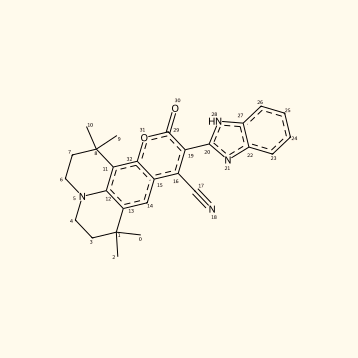 CC1(C)CCN2CCC(C)(C)c3c2c1cc1c(C#N)c(-c2nc4ccccc4[nH]2)c(=O)oc31